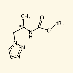 C[C@H](Cn1ccnn1)NC(=O)OC(C)(C)C